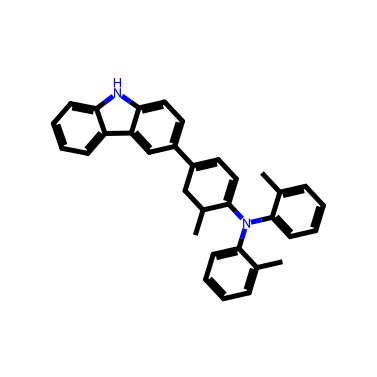 Cc1ccccc1N(C1=CC=C(c2ccc3[nH]c4ccccc4c3c2)CC1C)c1ccccc1C